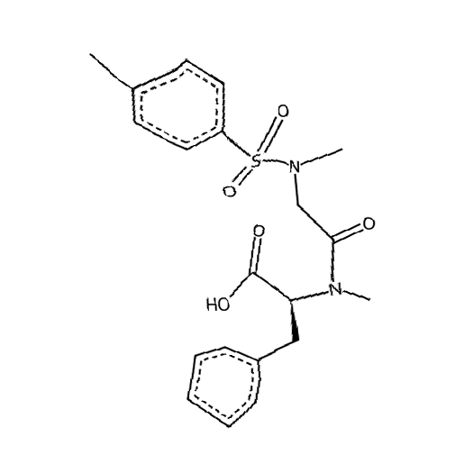 Cc1ccc(S(=O)(=O)N(C)CC(=O)N(C)[C@@H](Cc2ccccc2)C(=O)O)cc1